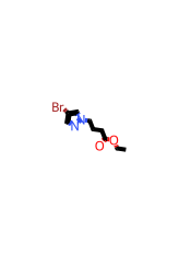 CCOC(=O)CCCn1cc(Br)cn1